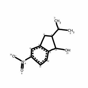 CC(C)C1Cc2cc([N+](=O)[O-])ccc2C1O